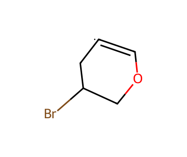 BrC1C[C]=COC1